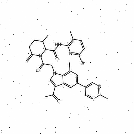 C=C1CCC(C)[C@@H](C(=O)Nc2nc(Br)ccc2C)N1C(=O)Cn1cc(C(C)=O)c2cc(-c3cnc(C)nc3)cc(C)c21